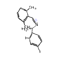 Cc1cccc(C)c1/C=N\C(C)c1ccc(I)cc1I